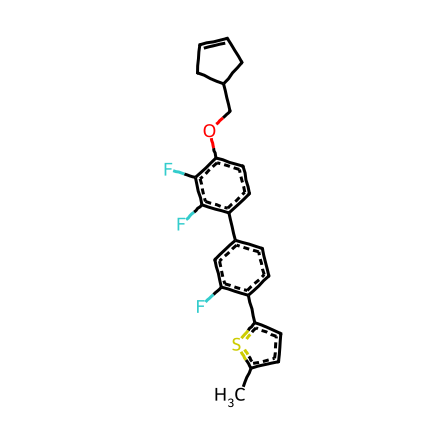 Cc1ccc(-c2ccc(-c3ccc(OCC4CC=CC4)c(F)c3F)cc2F)s1